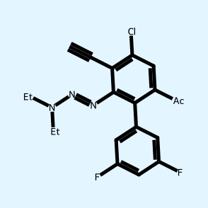 C#Cc1c(Cl)cc(C(C)=O)c(-c2cc(F)cc(F)c2)c1/N=N/N(CC)CC